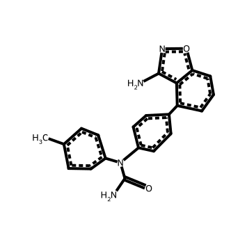 Cc1ccc(N(C(N)=O)c2ccc(-c3cccc4onc(N)c34)cc2)cc1